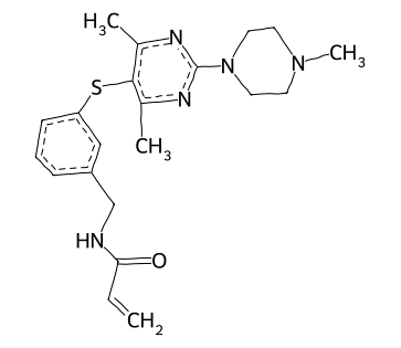 C=CC(=O)NCc1cccc(Sc2c(C)nc(N3CCN(C)CC3)nc2C)c1